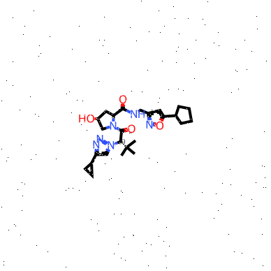 CC(C)(C)[C@@H](C(=O)N1CC(O)CC1C(=O)NCc1cc(C2CCCC2)on1)n1cc(C2CC2)nn1